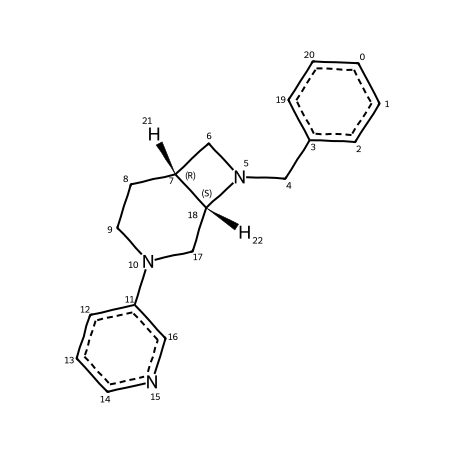 c1ccc(CN2C[C@H]3CCN(c4cccnc4)C[C@H]32)cc1